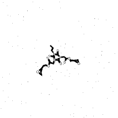 CCCn1c(=O)n(CC(=O)OCC2CO2)c(=O)n(CC(=O)OCC2CO2)c1=O